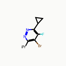 CC(C)c1nnc(C2CC2)c(F)c1Br